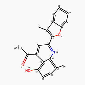 COC(=O)c1cc(-c2oc3ccccc3c2C)nc2c(C)ccc(O)c12